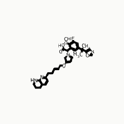 COc1c(F)cc(C(C)(C)c2cnco2)cc1[C@@H](C(=O)O)N1CC[C@@H](OCCCCCc2ccc3c(n2)NCCC3)C1